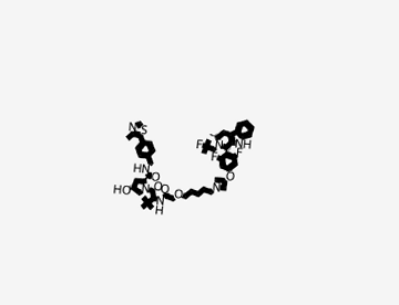 Cc1ncsc1-c1ccc(CNC(=O)[C@@H]2C[C@@H](O)CN2C(=O)C(NC(=O)COCCCCCN2CC(Oc3cc(F)c([C@@H]4c5[nH]c6ccccc6c5C[C@@H](C)N4CC(C)(C)F)c(F)c3)C2)C(C)(C)C)cc1